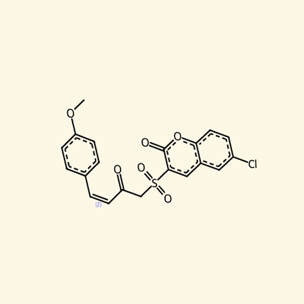 COc1ccc(/C=C\C(=O)CS(=O)(=O)c2cc3cc(Cl)ccc3oc2=O)cc1